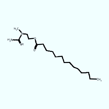 CCCCCCCCCCCCCC(=O)OCCN(C)C(=N)N